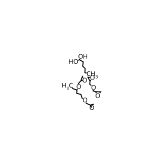 C(OCC1CO1)C1CO1.CCC(CCCOCC1CO1)OCC1CO1.CCCCCC(O)O